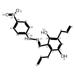 C=CCc1cc(O)c(CC=C)c(C=NNc2ccc([N+](=O)[O-])cc2)c1O